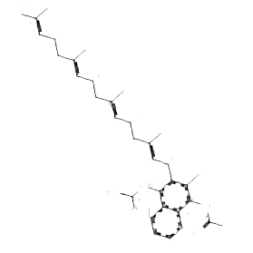 CCC(=O)Oc1c(C)c(C/C=C(\C)CC/C=C(\C)CC/C=C(\C)CCC=C(C)C)c(OC(O)CC)c2ccccc12